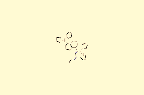 C=C/C=C\C=C(\C1CCCc2c1cccc2P(n1cccc1)n1cccc1)P(n1cccc1)n1cccc1